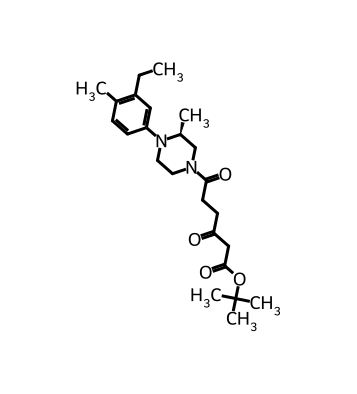 CCc1cc(N2CCN(C(=O)CCC(=O)CC(=O)OC(C)(C)C)C[C@@H]2C)ccc1C